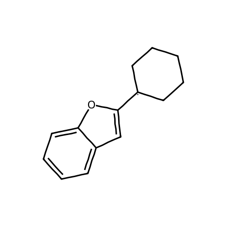 c1ccc2oc([C]3CCCCC3)cc2c1